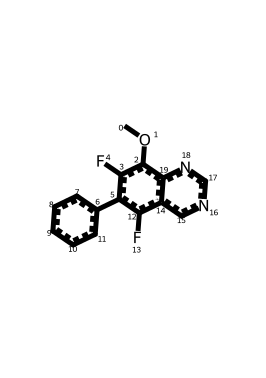 COc1c(F)c(-c2ccccc2)c(F)c2cncnc12